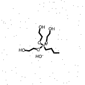 CCCC[N+](OCCO)(OCCO)OCCO.[OH-]